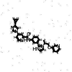 CC(COc1cccnc1)N1C=CNN1c1cccc(NC(=O)c2cc(-n3cnc(C4CC4)c3)ccn2)c1